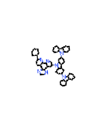 c1ccc(-c2ccc3c4nccnc4c4cc(-n5c6ccc(-n7c8ccccc8c8ccccc87)cc6c6ccc(-n7c8ccccc8c8ccccc87)cc65)cnc4c3n2)cc1